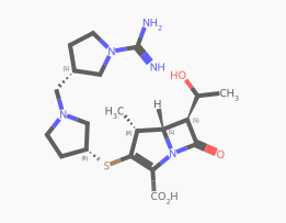 CC(O)[C@H]1C(=O)N2C(C(=O)O)=C(S[C@@H]3CCN(C[C@@H]4CCN(C(=N)N)C4)C3)[C@H](C)[C@H]12